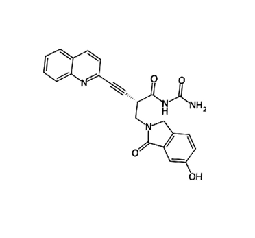 NC(=O)NC(=O)[C@@H](C#Cc1ccc2ccccc2n1)CN1Cc2ccc(O)cc2C1=O